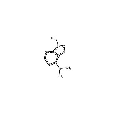 CN(C)c1ccnc2c1nnn2C